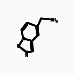 NCC1=CC2=CNON2C=C1